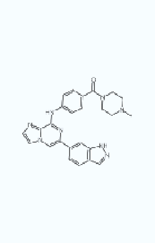 CN1CCN(C(=O)c2ccc(Nc3nc(-c4ccc5cn[nH]c5c4)cn4ccnc34)cc2)CC1